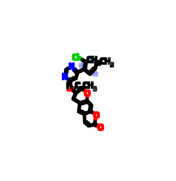 C=C(F)/C=C\C(=C(/C)Cl)c1cc(OC2Cc3cc4ccc(=O)oc4cc3OC2(C)C)ncn1